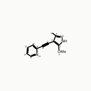 COc1[nH]nc(C)c1C#Cc1ccccn1